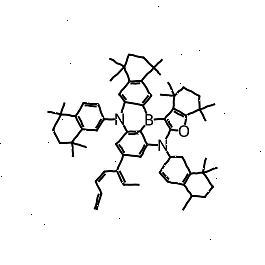 C=C/C=C\C(=C\C)c1cc2c3c(c1)N(C1C=CC4=C(C1)C(C)(C)CCC4C)c1oc4c(c1B3c1cc3c(cc1N2c1ccc2c(c1)C(C)(C)CCC2(C)C)C(C)(C)CCC3(C)C)C(C)(C)CCC4(C)C